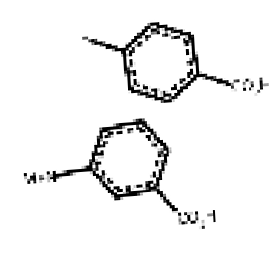 CNc1cccc(C(=O)O)c1.O=C(O)c1ccc(F)cc1